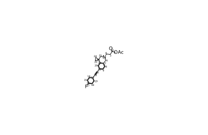 CC(=O)OC(=O)CCN1Cc2ccc(C#Cc3ccc(F)cc3)cc2C2(CC2)C1